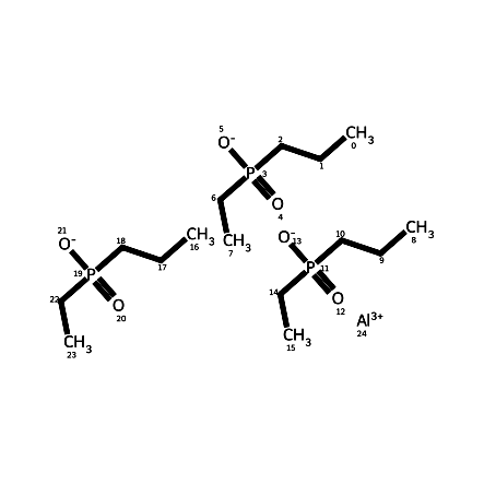 CCCP(=O)([O-])CC.CCCP(=O)([O-])CC.CCCP(=O)([O-])CC.[Al+3]